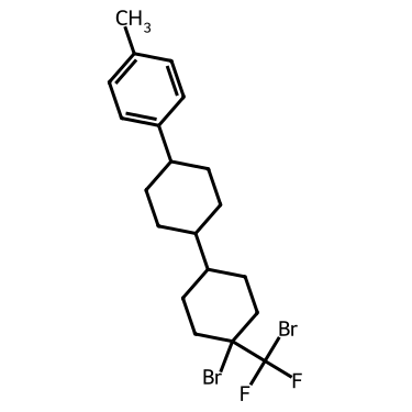 Cc1ccc(C2CCC(C3CCC(Br)(C(F)(F)Br)CC3)CC2)cc1